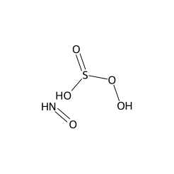 N=O.O=S(O)OO